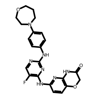 O=C1COc2ccc(Nc3nc(Nc4ccc(N5CCCOCC5)cc4)ncc3F)nc2N1